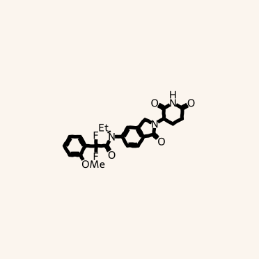 CCN(C(=O)C(F)(F)c1ccccc1OC)c1ccc2c(c1)CN(C1CCC(=O)NC1=O)C2=O